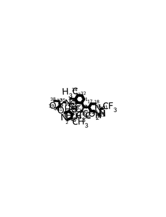 Cc1cnc2c(c1)S(=O)(=O)N(Cc1cc([C@@H](c3ccn4c(C(F)(F)F)nnc4c3C)C(C)(C)C(=O)O)ccc1C)C[C@@]1(CCOC1)O2